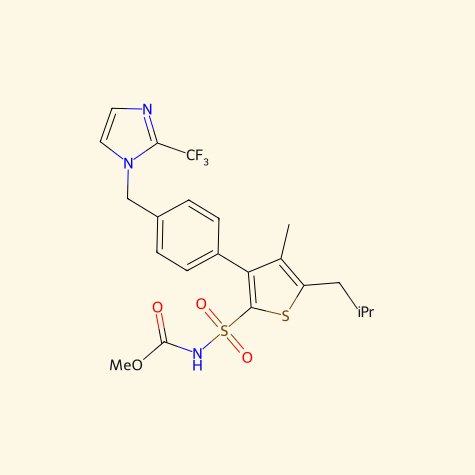 COC(=O)NS(=O)(=O)c1sc(CC(C)C)c(C)c1-c1ccc(Cn2ccnc2C(F)(F)F)cc1